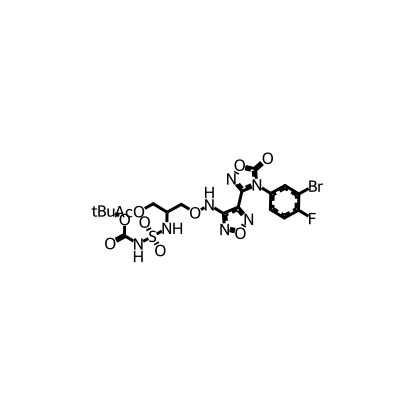 CC(=O)OCC(CONc1nonc1-c1noc(=O)n1-c1ccc(F)c(Br)c1)NS(=O)(=O)NC(=O)OC(C)(C)C